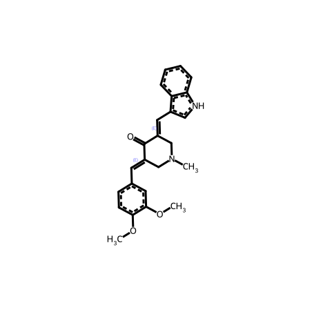 COc1ccc(/C=C2\CN(C)C/C(=C\c3c[nH]c4ccccc34)C2=O)cc1OC